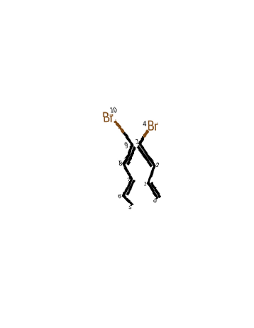 C=CC=CBr.CC=CC=CBr